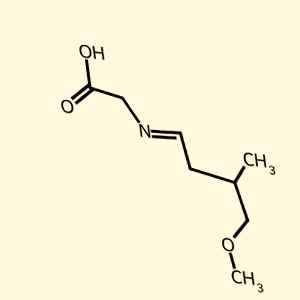 COCC(C)CC=NCC(=O)O